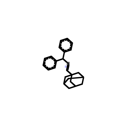 C(=N\C(c1ccccc1)c1ccccc1)/C12CC3CC(CC(C3)C1)C2